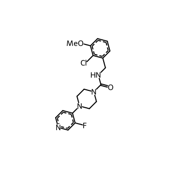 COc1cccc(CNC(=O)N2CCN(c3ccncc3F)CC2)c1Cl